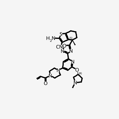 C=CC(=O)N1CCN(c2cc(O[C@@H]3CCN(C)C3)nc(-c3noc([C@@]4(C)CCCc5sc(N)c(C#N)c54)n3)c2)CC1